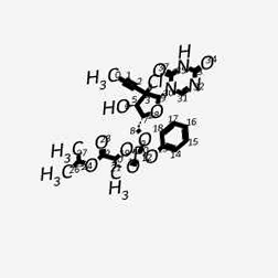 CC#CC1(Cl)[C@@H](O)[C@@H](COP(=O)(Oc2ccccc2)O[C@@H](C)C(=O)OC(C)C)O[C@H]1n1cnc(=O)[nH]c1=O